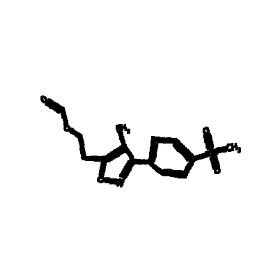 CS(=O)(=O)c1ccc(-c2noc(CCOC=O)c2N)cc1